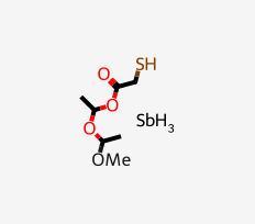 COC(C)OC(C)OC(=O)CS.[SbH3]